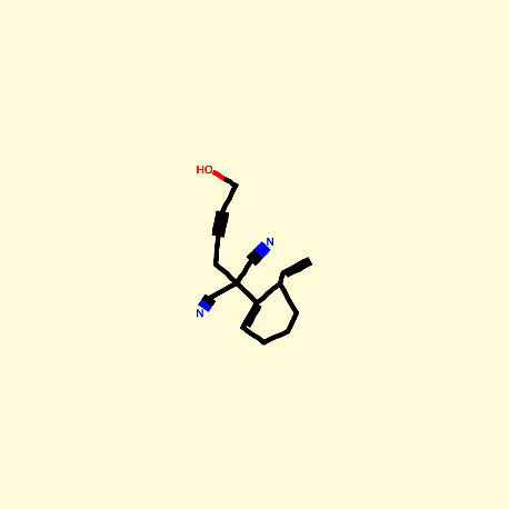 C=CC1CCCC=C1C(C#N)(C#N)CC#CCO